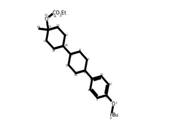 CCCCOc1ccc(C2CCC(C3CCC(C)(OC(=O)OCC)CC3)CC2)cc1